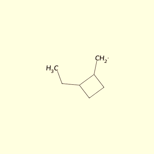 [CH2]C1CCC1CC